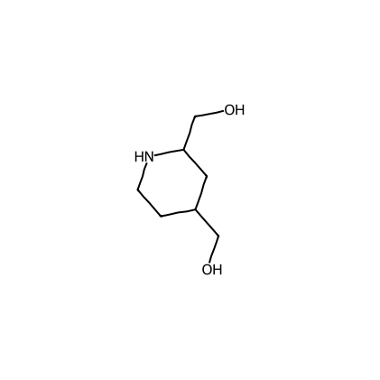 OCC1CCNC(CO)C1